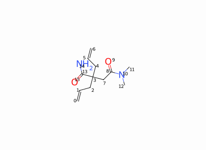 C=CCC(CC=C)(CC(=O)N(C)C)C(N)=O